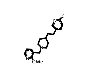 COc1ncccc1CN1CCC(CCc2ccc(Cl)nc2)CC1